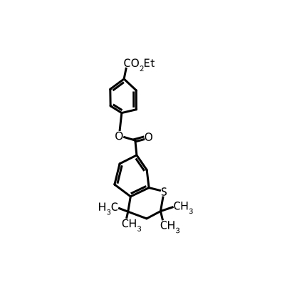 CCOC(=O)c1ccc(OC(=O)c2ccc3c(c2)SC(C)(C)CC3(C)C)cc1